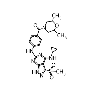 CC1CN(C(=O)c2ccc(Nc3nc(NC4CC4)c4c(S(C)(=O)=O)n[nH]c4n3)cc2)CC(C)O1